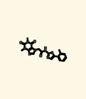 Cc1ccccc1-c1cnc(NC(=O)Cn2cnc3c2c(=O)n(C)c(=O)n3C)s1